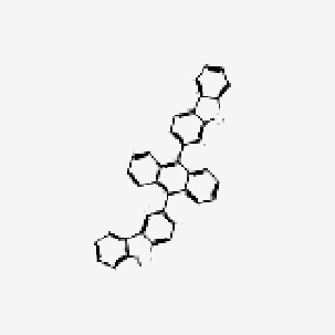 c1ccc2c(c1)oc1ccc(-c3c4ccccc4c(-c4ccc5c(c4)sc4ccccc45)c4ccccc34)cc12